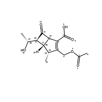 CC(=O)OCC1=C(C(=O)O)N2C(=O)[C@H]([C@@H](C)O)[C@H]2[C@H]1C